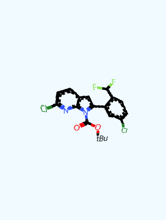 CC(C)(C)OC(=O)n1c(-c2cc(Cl)ccc2C(F)F)cc2ccc(Cl)nc21